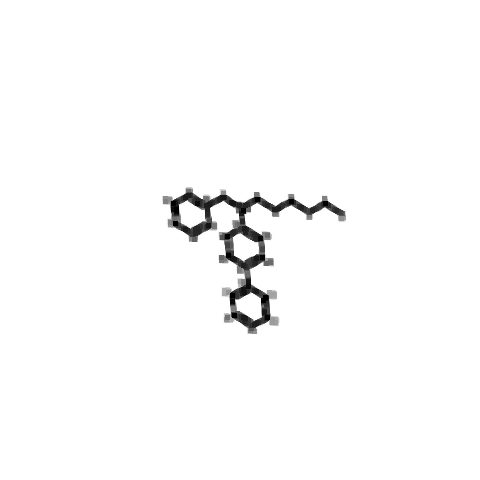 CCCCCCN(Cc1ccccc1)c1ccc(-c2ccccc2)cc1